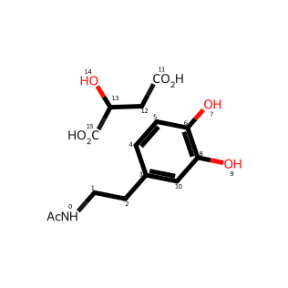 CC(=O)NCCc1ccc(O)c(O)c1.O=C(O)CC(O)C(=O)O